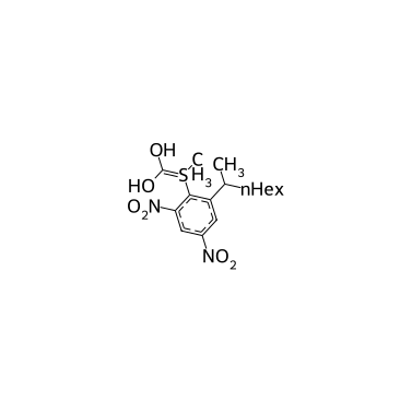 CCCCCCC(C)c1cc([N+](=O)[O-])cc([N+](=O)[O-])c1S(C)=C(O)O